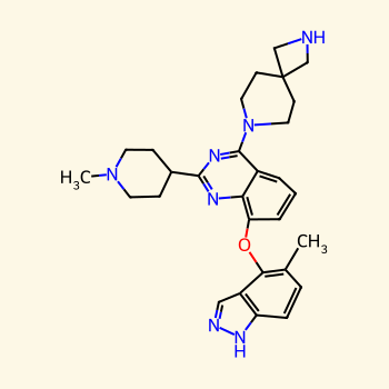 Cc1ccc2[nH]ncc2c1Oc1cccc2c(N3CCC4(CC3)CNC4)nc(C3CCN(C)CC3)nc12